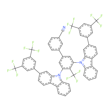 N#Cc1cccc(-c2cc(-n3c4ccccc4c4ccc(-c5cc(C(F)(F)F)cc(C(F)(F)F)c5)cc43)c(C(F)(F)F)c(-n3c4ccccc4c4ccc(-c5cc(C(F)(F)F)cc(C(F)(F)F)c5)cc43)c2)c1